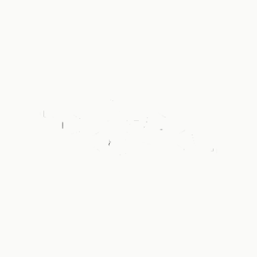 CC(C)CC1=Cc2c(-c3ccc(C(C)(C)C)cc3)cccc2C1[Si](C)(C)C1C(CC(C)C)=Cc2c(-c3ccc(C(C)(C)C)cc3)cccc21